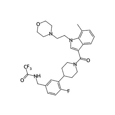 Cc1cccc2c(C(=O)N3CCC(c4cc(CNC(=O)C(F)(F)F)ccc4F)CC3)cn(CCN3CCOCC3)c12